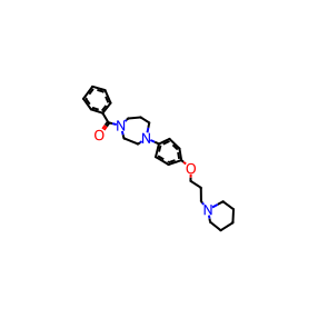 O=C(c1ccccc1)N1CCCN(c2ccc(OCCCN3CCCCC3)cc2)CC1